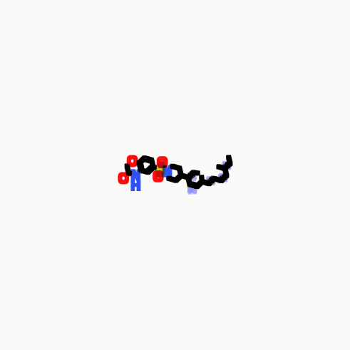 C/C=C(\C=C/C(C)/C=C/C=C\C(C)=C\C)C1CCN(S(=O)(=O)c2ccc3c(c2)NC(=O)CO3)CC1